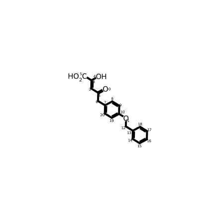 O=C(C=C(O)C(=O)O)Cc1ccc(OCc2ccccc2)cc1